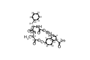 [2H]C(=O)c1c[nH]c2cc(COC(=O)[C@H](C)NC(=O)[C@H](Cc3ccccc3)NC(=O)OC(C)(C)C)ccc12